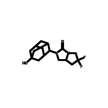 O=C1N2CC(F)(F)CC2CN1C1C2CC3CC1CC(O)(C3)C2